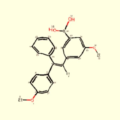 CCOc1ccc(/C(=C(\CC)c2cc(OCC)cc(B(O)O)c2)c2ccccc2)cc1